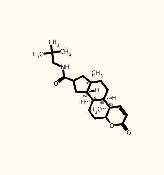 CC(C)(C)CNC(=O)C1C[C@H]2[C@@H]3CCC4OC(=O)C=C[C@]4(C)[C@@H]3CC[C@]2(C)C1